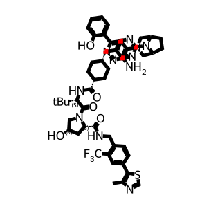 Cc1ncsc1-c1ccc(CNC(=O)[C@@H]2C[C@@H](O)CN2C(=O)[C@@H](NC(=O)[C@H]2CC[C@@H](Cc3cnc(N4C5CCC4CN(c4cc(-c6ccccc6O)nnc4N)C5)nc3)CC2)C(C)(C)C)c(C(F)(F)F)c1